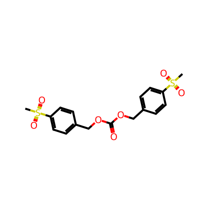 CS(=O)(=O)c1ccc(COC(=O)OCc2ccc(S(C)(=O)=O)cc2)cc1